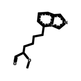 COC(C=O)CCCCc1cccc2cncn12